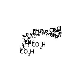 O=C(O)CCCc1cn(CC(=O)O)c2c(/C=C/c3ccc(OCCCCOc4cccc(Cl)c4Cl)cn3)cccc12